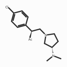 CC(=O)[C@H](CN1CC[C@H](N(C)C)C1)c1ccc(Cl)cc1